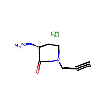 C#CCN1CC[C@H](N)C1=O.Cl